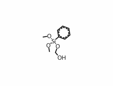 CO[Si](OC)(OCO)c1ccccc1